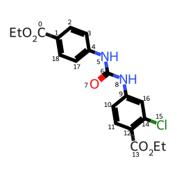 CCOC(=O)c1ccc(NC(=O)Nc2ccc(C(=O)OCC)c(Cl)c2)cc1